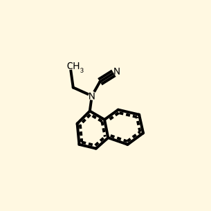 CCN(C#N)c1cccc2ccccc12